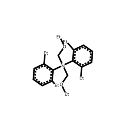 CCOC[Si](COCC)(c1c(CC)cccc1CC)c1c(CC)cccc1CC